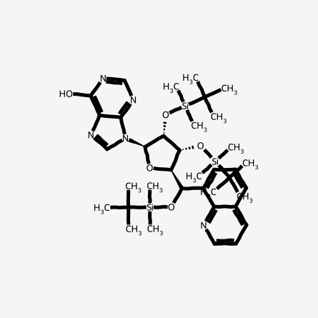 CC(C)(C)[Si](C)(C)OC(c1cccc2cccnc12)[C@H]1O[C@@H](n2cnc3c(O)ncnc32)[C@H](O[Si](C)(C)C(C)(C)C)[C@@H]1O[Si](C)(C)C(C)(C)C